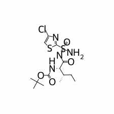 CC[C@H](C)[C@H](NC(=O)OC(C)(C)C)C(=O)N=S(N)(=O)c1nc(Cl)cs1